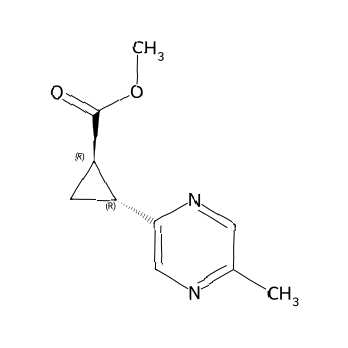 COC(=O)[C@@H]1C[C@H]1c1cnc(C)cn1